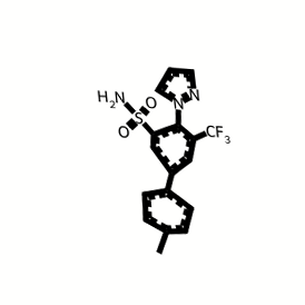 Cc1ccc(-c2cc(C(F)(F)F)c(-n3cccn3)c(S(N)(=O)=O)c2)cc1